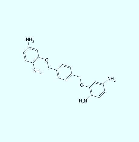 Nc1ccc(N)c(OCc2ccc(COc3cc(N)ccc3N)cc2)c1